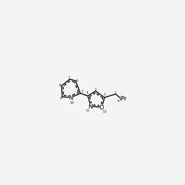 CC(C)Cc1cc(-c2ccccn2)no1